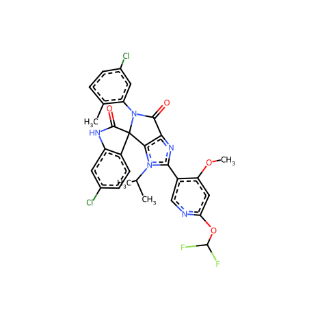 COc1cc(OC(F)F)ncc1-c1nc2c(n1C(C)C)C1(C(=O)Nc3cc(Cl)ccc31)N(c1cc(Cl)ccc1C)C2=O